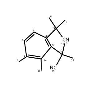 Cc1ccc(C(C)(C)C#N)c(C(C)(C)C#N)c1C